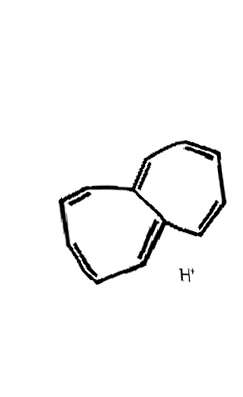 C1=CC=C2C=CC=CC=C2C=C1.[H+]